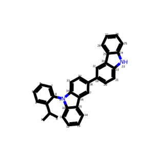 CC(C)c1ccccc1-n1c2ccccc2c2cc(-c3ccc4[nH]c5ccccc5c4c3)ccc21